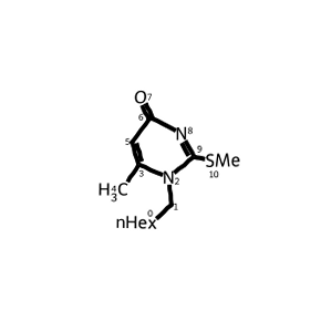 CCCCCCCn1c(C)cc(=O)nc1SC